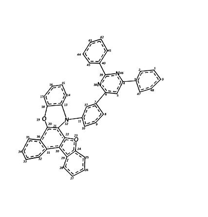 c1ccc(-c2cc(-c3cccc(N4c5ccccc5Oc5c4c4oc6ccccc6c4c4ccccc54)c3)nc(-c3ccccc3)n2)cc1